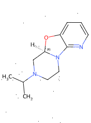 CC(C)N1CCN2c3ncccc3O[C@@H]2C1